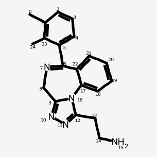 Cc1cccc(C2=NCc3nnc(CCN)n3-c3ccccc32)c1C